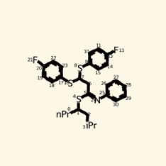 CCCC(CC(C)C)SC(CC(Sc1ccc(F)cc1)Sc1ccc(F)cc1)=Nc1ccccc1